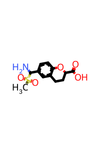 CS(=O)(=O)C(N)c1ccc2c(c1)CCC(C(=O)O)O2